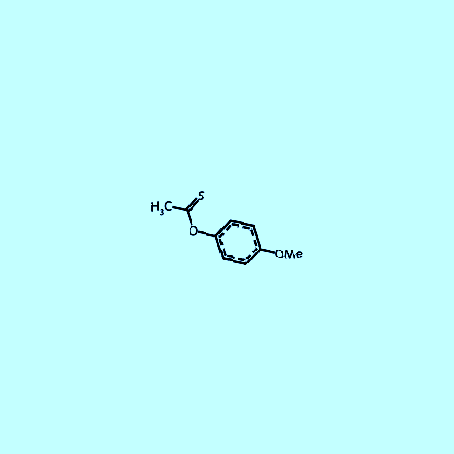 COc1ccc(OC(C)=S)cc1